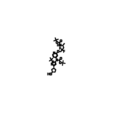 C[C@@H](CC(F)(F)COc1cc(N(C(=O)OC(C)(C)C)c2cc([C@H]3CC[C@@H](O)C3)nn2C(C)(C)C)ccn1)NC(=O)OC(C)(C)C